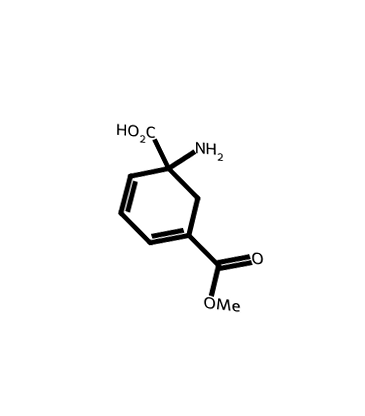 COC(=O)C1=CC=CC(N)(C(=O)O)C1